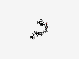 CC(C)c1cc(N2C(=S)N(c3cnc(C#N)c(C(F)(F)F)c3)C(=O)C2(C)C)ccc1OCCN1C[C@@H](C)N(CC(=O)Nc2cc(Cl)cc(NC3CCC(=O)NC3=O)c2)C[C@H]1C